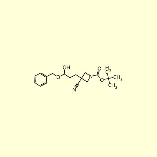 CC(C)(C)OC(=O)N1CC(C#N)(CCC(O)OCc2ccccc2)C1